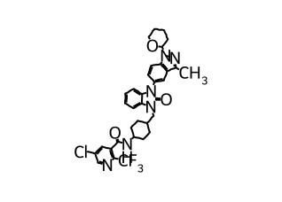 Cc1nn(C2CCCCO2)c2ccc(-n3c(=O)n(CC4CCC(NC(=O)c5cc(Cl)cnc5C(F)(F)F)CC4)c4ccccc43)cc12